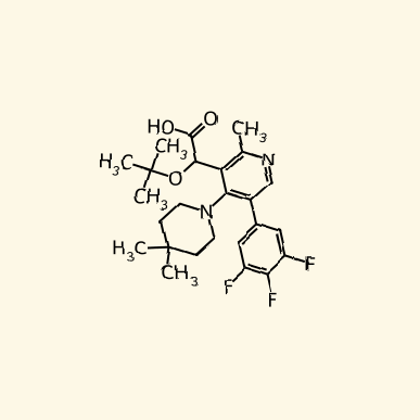 Cc1ncc(-c2cc(F)c(F)c(F)c2)c(N2CCC(C)(C)CC2)c1C(OC(C)(C)C)C(=O)O